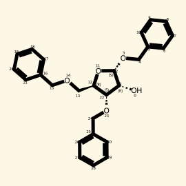 O[C@H]1[C@@H](OCc2ccccc2)O[C@H](COCc2ccccc2)[C@H]1OCc1ccccc1